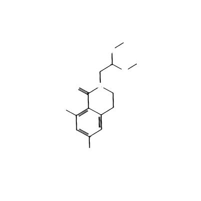 COC(CN1CCc2cc(Br)cc(F)c2C1=O)OC